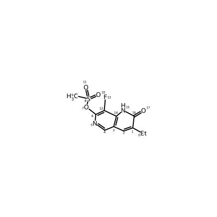 CCc1cc2cnc(OS(C)(=O)=O)c(F)c2[nH]c1=O